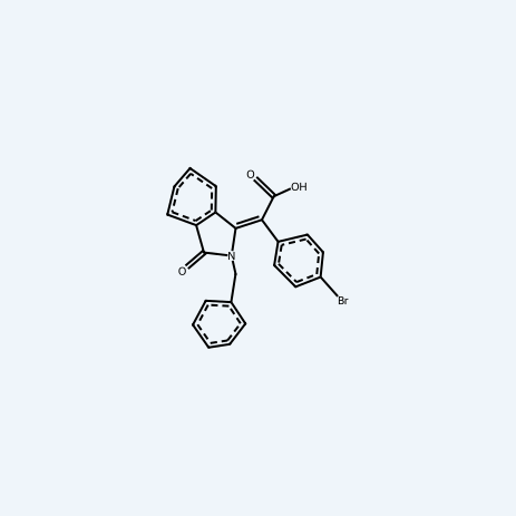 O=C(O)C(=C1c2ccccc2C(=O)N1Cc1ccccc1)c1ccc(Br)cc1